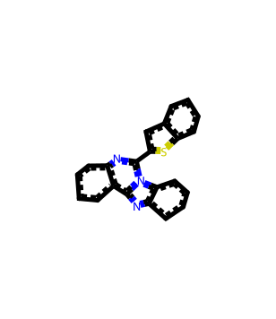 c1ccc2sc(-c3nc4ccccc4c4nc5ccccc5n34)cc2c1